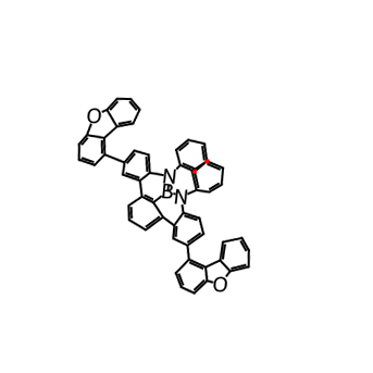 c1ccc(N2B3c4c(cccc4-c4cc(-c5cccc6oc7ccccc7c56)ccc4N3c3ccccc3)-c3cc(-c4cccc5oc6ccccc6c45)ccc32)cc1